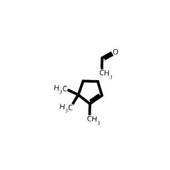 CC1=CCCC1(C)C.CC=O